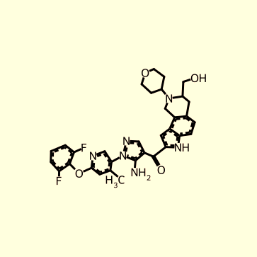 Cc1cc(Oc2c(F)cccc2F)ncc1-n1ncc(C(=O)c2cc3c4c(ccc3[nH]2)CC(CO)N(C2CCOCC2)C4)c1N